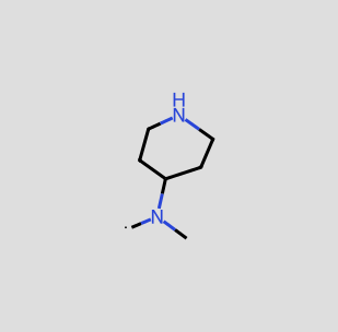 [CH2]N(C)C1CCNCC1